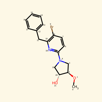 CO[C@@H]1CN(c2ccc(Br)c(Cc3ccccc3)n2)C[C@H]1O